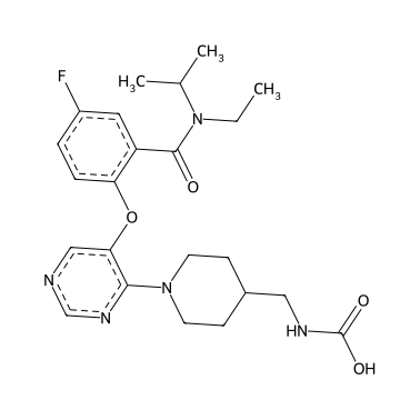 CCN(C(=O)c1cc(F)ccc1Oc1cncnc1N1CCC(CNC(=O)O)CC1)C(C)C